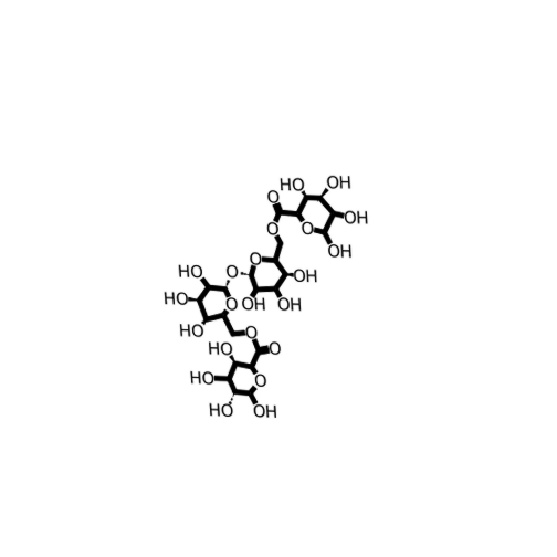 O=C(OCC1O[C@@H](O[C@@H]2OC(COC(=O)C3OC(O)C(O)[C@H](O)[C@@H]3O)[C@@H](O)C(O)C2O)C(O)[C@H](O)[C@@H]1O)C1OC(O)[C@H](O)C(O)[C@H]1O